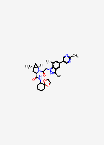 CC(=O)c1nn(CC(=O)N2[C@H](C(=O)NC3CCCCC34OCCO4)C[C@@]3(C)C[C@@H]23)c2c(C)cc(-c3cnc(C)nc3)cc12